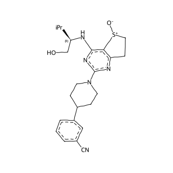 CC(C)[C@H](CO)Nc1nc(N2CCC(c3cccc(C#N)c3)CC2)nc2c1[S+]([O-])CC2